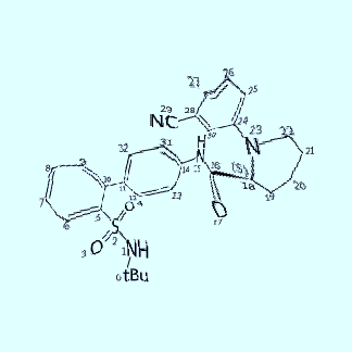 CC(C)(C)NS(=O)(=O)c1ccccc1-c1ccc(NC(=O)[C@@H]2CCCCN2c2cccc(C#N)c2)cc1